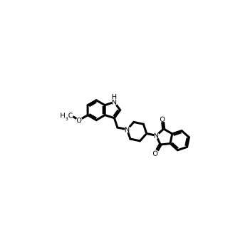 COc1ccc2[nH]cc(CN3CCC(N4C(=O)c5ccccc5C4=O)CC3)c2c1